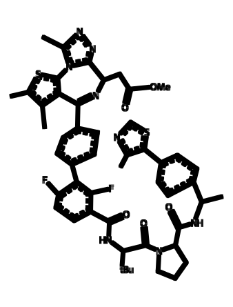 COC(=O)CC1N=C(c2ccc(-c3c(F)ccc(C(=O)NC(C(=O)N4CCCC4C(=O)NC(C)c4ccc(-c5scnc5C)cc4)C(C)(C)C)c3F)cc2)c2c(sc(C)c2C)-n2c(C)nnc21